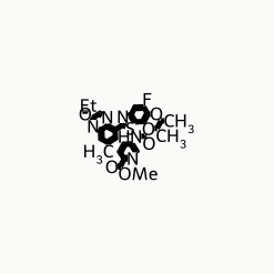 CCOc1cnc2c(-c3nc4cc(F)c(OC(C)C(C)OC(=O)Nc5ccc(C(=O)OC)nc5)cc4s3)cc(C)cc2n1